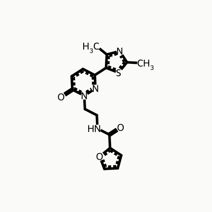 Cc1nc(C)c(-c2ccc(=O)n(CCNC(=O)c3ccco3)n2)s1